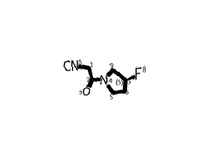 [C-]#[N+]CC(=O)N1CC[C@H](F)C1